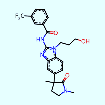 CN1CCC(C)(c2ccc3c(c2)nc(NC(=O)c2cccc(C(F)(F)F)c2)n3CCCO)C1=O